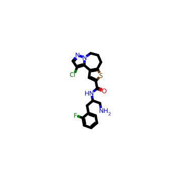 NCC(Cc1ccccc1F)NC(=O)c1cc2c(s1)CCCn1ncc(Cl)c1-2